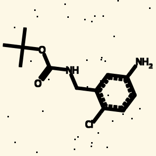 CC(C)(C)OC(=O)NCc1cc(N)ccc1Cl